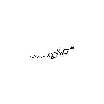 CCCCCCCCC1CCC2C[C@H](C(=O)Oc3ccc(C#N)cc3)CC[C@@H]2C1